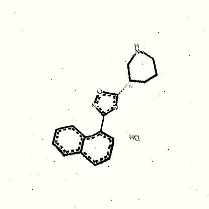 Cl.c1ccc2c(-c3noc([C@H]4CCCNC4)n3)cccc2c1